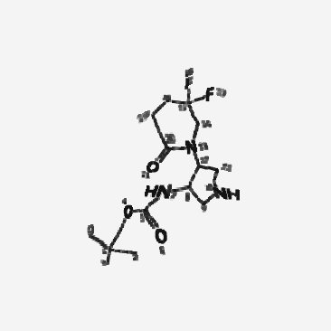 CC(C)(C)OC(=O)NC1CNCC1N1CC(F)(F)CCC1=O